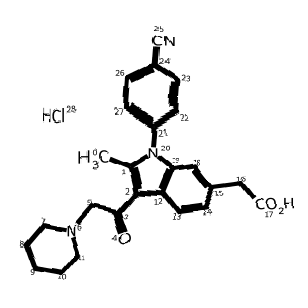 Cc1c(C(=O)CN2CCCCC2)c2ccc(CC(=O)O)cc2n1-c1ccc(C#N)cc1.Cl